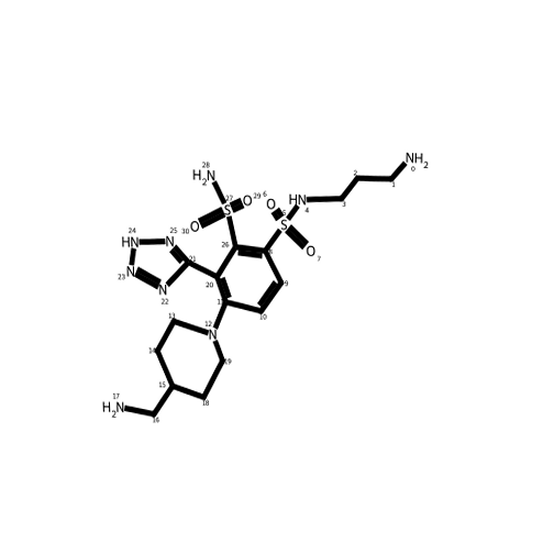 NCCCNS(=O)(=O)c1ccc(N2CCC(CN)CC2)c(-c2nn[nH]n2)c1S(N)(=O)=O